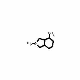 CN1CC2CCCC(N)C2C1